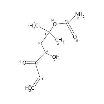 [CH2]C(C)(CC(O)C(=O)C=C)OC(N)=O